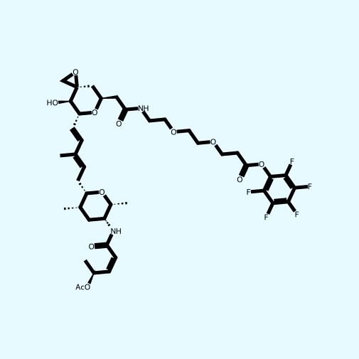 CC(=O)O[C@@H](C)/C=C\C(=O)N[C@@H]1C[C@H](C)[C@H](C/C=C(C)/C=C/[C@H]2O[C@H](CC(=O)NCCOCCOCCC(=O)Oc3c(F)c(F)c(F)c(F)c3F)C[C@@]3(CO3)[C@@H]2O)O[C@@H]1C